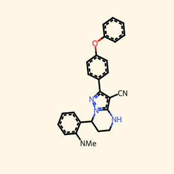 CNc1ccccc1C1CCNc2c(C#N)c(-c3ccc(Oc4ccccc4)cc3)nn21